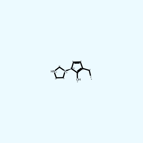 OC1=C(CI)C=C[C@@H]1N1CCNC1